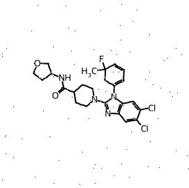 CC1(F)C=CC=C(n2c(N3CCC(C(=O)NC4CCOC4)CC3)nc3cc(Cl)c(Cl)cc32)C1